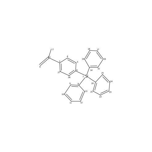 C=C(C)c1ccc([Si](c2ccccc2)(c2ccccc2)c2ccccc2)cc1